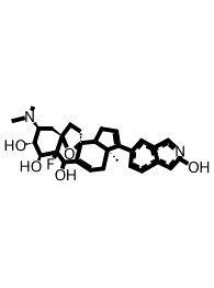 CN(C)[C@H]1C[C@@]23CC[C@@]4(O2)C(=CC[C@]2(C)C(c5ccc6cc(O)ncc6c5)=CCC24)C(O)C3(F)[C@@H](O)[C@@H]1O